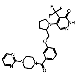 O=C(c1cccc(OCC2CCCN2c2cn[nH]c(=O)c2C(F)(F)F)c1)N1CCN(c2ncccn2)CC1